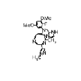 COc1cc(OC)c(F)c(N(Cc2ncc[nH]2)c2cccncc(-c3cnn(C)c3)nc(C)n2)c1